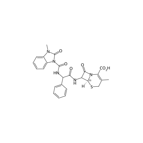 CC1=C(C(=O)O)N2C(=O)C(NC(=O)C(NC(=O)n3c(=O)n(C)c4ccccc43)c3ccccc3)[C@@H]2SC1